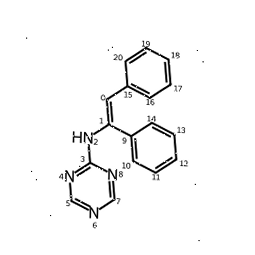 C(=C(Nc1ncncn1)c1ccccc1)c1ccccc1